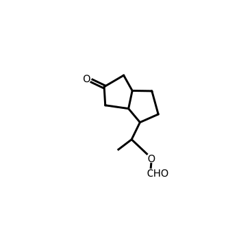 CC(OC=O)C1CCC2CC(=O)CC21